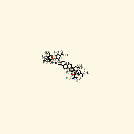 C/C=C(/C)C(=O)C[C@H]1[C@H](OC(=O)/C(C)=C\C)[C@@]2(CO)C(CC1(C)C)C1=CCC3[C@@]4(C)CC[C@H](O[C@@H]5OC(C(=O)O)[C@@H](O)[C@@H](OC6OC(CO)C(O)C6O)C5O[C@@H]5OC(CO)[C@@H](O)[C@@H](O)C5O)[C@](C)(CO)C4CC[C@@]3(C)[C@]1(C)[C@@H](O)[C@H]2O